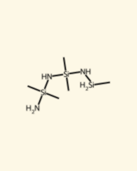 C[SiH2]N[Si](C)(C)N[Si](C)(C)N